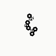 c1ccc2c(c1)ncn2-c1ccc2oc3ccc(-n4c5ccccc5c5ccccc54)cc3c2c1